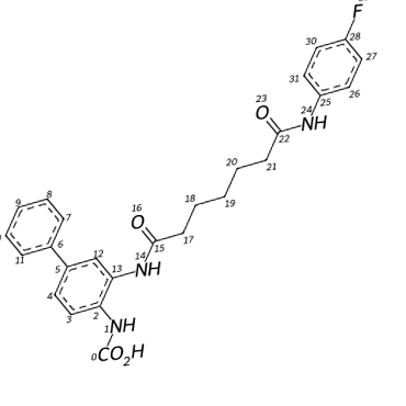 O=C(O)Nc1ccc(-c2ccccc2)cc1NC(=O)CCCCCC(=O)Nc1ccc(F)cc1